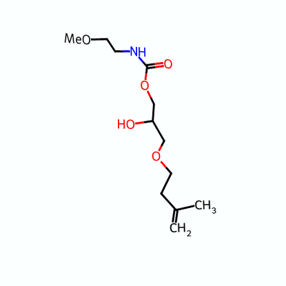 C=C(C)CCOCC(O)COC(=O)NCCOC